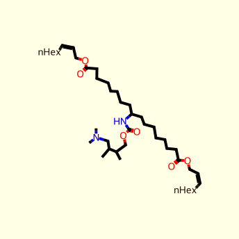 CCCCCC/C=C\COC(=O)CCCCCCCC(CCCCCCCC(=O)OC/C=C\CCCCCC)NC(=O)OCC(C)C(C)CN(C)C